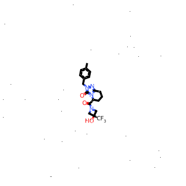 Cc1ccc(Cn2nc3n(c2=O)C(C(=O)N2CC(O)(C(F)(F)F)C2)CCC3)cc1